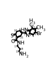 Cc1c(Br)cc2nc(C3=CCC(=S)C(C(=O)NCCCN)=C3)[nH]c2c1C